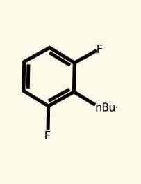 CCC[CH]c1c(F)cccc1F